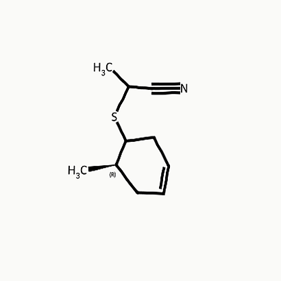 CC(C#N)SC1CC=CC[C@H]1C